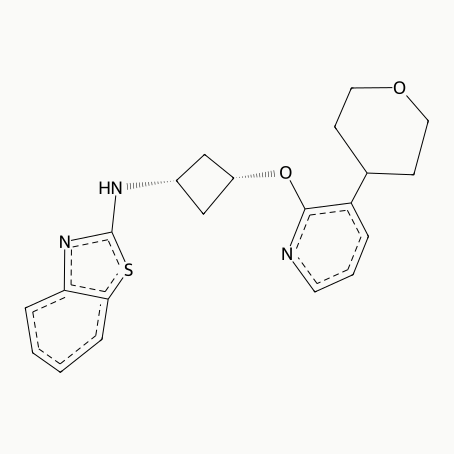 c1cnc(O[C@H]2C[C@@H](Nc3nc4ccccc4s3)C2)c(C2CCOCC2)c1